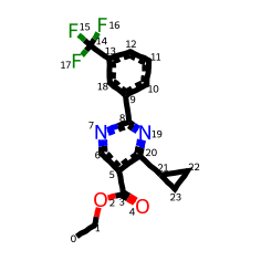 CCOC(=O)c1cnc(-c2cccc(C(F)(F)F)c2)nc1C1CC1